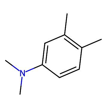 Cc1ccc(N(C)C)cc1C